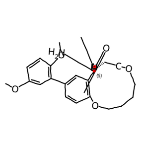 COc1ccc(OC)c(-c2ccc3c(c2)[C@]2(CCOCCCCO3)N=C(N)N(C)C2=O)c1